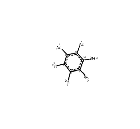 [2H]c1c([2H])c([2H])c(C(C)=O)c(C(C)=O)c1[2H]